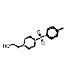 Cc1ccc(S(=O)(=O)N2CCN(CCO)CC2)cc1